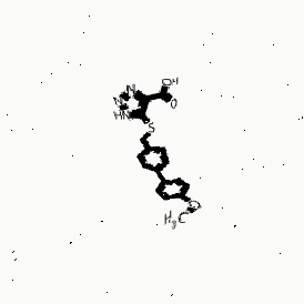 COc1ccc(-c2ccc(CSc3[nH]nnc3C(=O)O)cc2)cc1